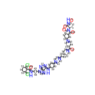 O=C1CC[C@H](N2C(=O)c3ccc(N4CCC(C(=O)N5CCC6(CC5)CC(N5CCN(c7ccc(Nc8ncnc9c8ncn9C8CC(NC(=O)c9c(Cl)cccc9Cl)C8)cc7)CC5)C6)CC4)cc3C2=O)C(=O)N1